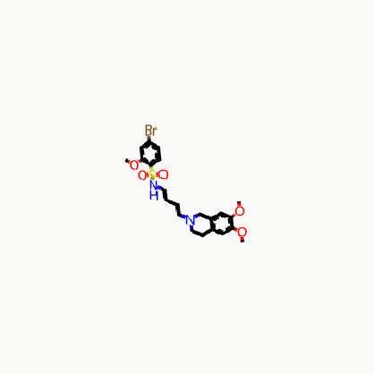 COc1cc2c(cc1OC)CN(CCCCNS(=O)(=O)c1ccc(Br)cc1OC)CC2